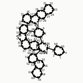 c1ccc(-c2nc(-c3ccc(-n4c5ccccc5c5cc6ccccc6cc54)c(-c4cccc5sc6ccc7ccccc7c6c45)c3)nc(-c3cccc4c3ccc3ccccc34)n2)cc1